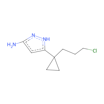 Nc1cc(C2(CCCCl)CC2)[nH]n1